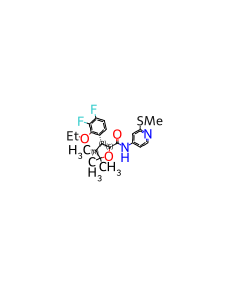 CCOc1c([C@@H]2[C@@H](C(=O)Nc3ccnc(SC)c3)OC(C)(C)[C@@H]2C)ccc(F)c1F